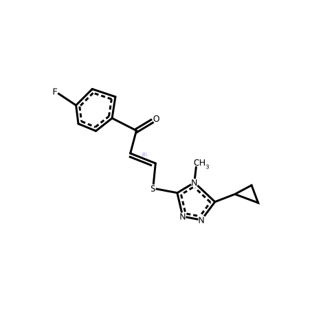 Cn1c(S/C=C/C(=O)c2ccc(F)cc2)nnc1C1CC1